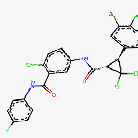 O=C(Nc1ccc(F)cc1)c1cc(NC(=O)[C@@H]2[C@@H](c3ccc(Cl)c(Br)c3)C2(Cl)Cl)ccc1Cl